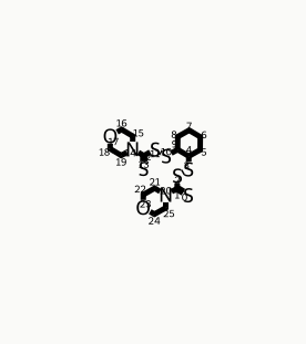 S=C(SSC1CCCCC1SSC(=S)N1CCOCC1)N1CCOCC1